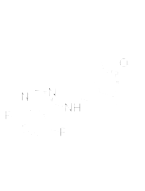 COc1cc(C)c(CCNc2ncnc3c(F)ccc(F)c23)cc1C